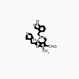 CN(Cc1cccc2[nH]ncc12)/N=C\c1c(C=O)n(C)c2nc(Cc3ccncc3)sc12